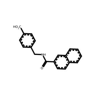 O=C(O)c1ccc(CNC(=O)c2ccc3ccccc3c2)cc1